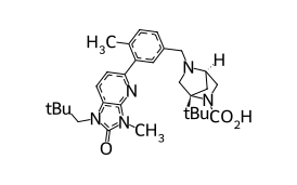 Cc1ccc(CN2C[C@]3(C(C)(C)C)C[C@@H]2CN3C(=O)O)cc1-c1ccc2c(n1)n(C)c(=O)n2CC(C)(C)C